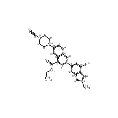 CCOC(=O)c1nc(-c2cc(F)c3nc(C)cn3c2)nc2ccc(N3CCB(C#N)CC3)cc12